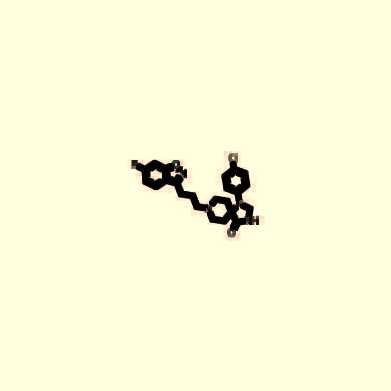 O=C1NCN(c2ccc(Cl)cc2)C12CCN(CCCc1noc3cc(F)ccc13)CC2